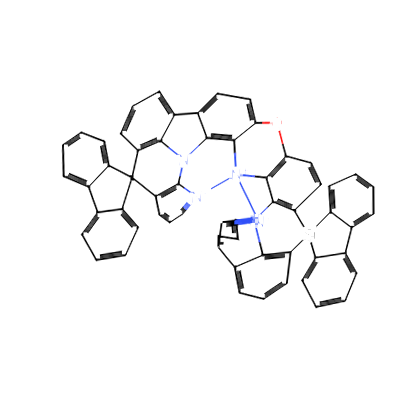 c1ccc2c(c1)-c1ccccc1C21c2ccc[n+]3c2-n2c4c1cccc4c1ccc4c(c12)[N+]31c2c(ccc3c2-n2c5c(cccc5c5ccc[n+]1c52)[Si]31c2ccccc2-c2ccccc21)O4